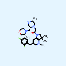 C[C@@H]1CN(CC(=O)N2CC(C)(C)C3=C2C=C(Cc2ccc(F)cc2F)CN3C)[C@@H](CN2CCOC[C@H]2C)CN1